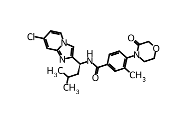 Cc1cc(C(=O)N[C@@H](CC(C)C)c2cn3ccc(Cl)cc3n2)ccc1N1CCOCC1=O